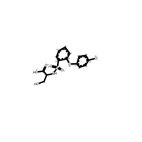 O=C(O)C(CO)NS(=O)(=O)c1ccccc1Oc1ccc(Cl)cc1